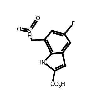 O=C(O)c1cc2cc(F)cc(C[SH](=O)=O)c2[nH]1